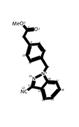 COC(=O)Cc1ccc(Cn2nc(C#N)c3ccccc32)cc1